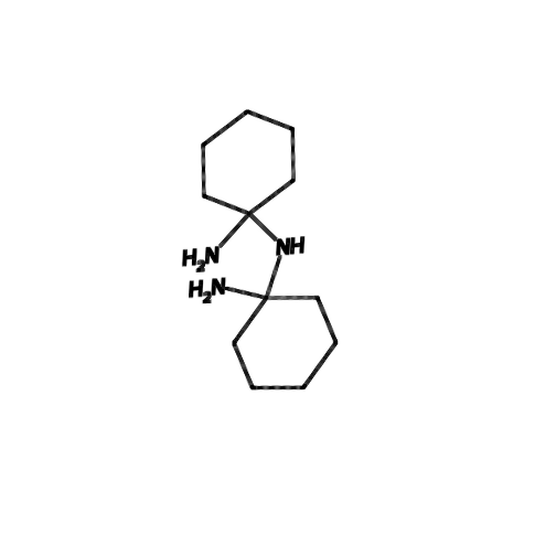 NC1(NC2(N)CCCCC2)CCCCC1